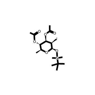 CC(=O)O[C@@H]1[C@@H](OC(C)=O)[C@@H](I)[C@@H](O[Si](C)(C)C(C)(C)C)O[C@H]1C